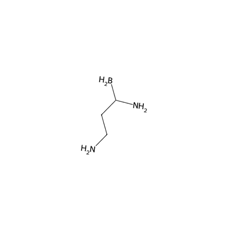 BC(N)CCN